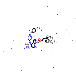 C[Si](C)(C)CCOCn1ccc2c3c(cnc21)CNC(=O)N3C1CCN(Cc2ccc(C(F)(F)F)cc2)CC1